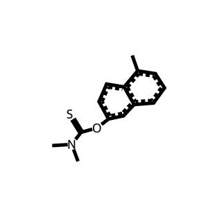 Cc1cccc2cc(OC(=S)N(C)C)ccc12